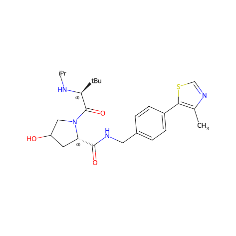 Cc1ncsc1-c1ccc(CNC(=O)[C@@H]2CC(O)CN2C(=O)[C@@H](NC(C)C)C(C)(C)C)cc1